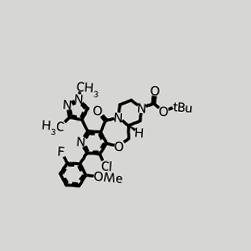 COc1cccc(F)c1-c1nc(-c2cn(C)nc2C)c2c(c1Cl)OC[C@H]1CN(C(=O)OC(C)(C)C)CCN1C2=O